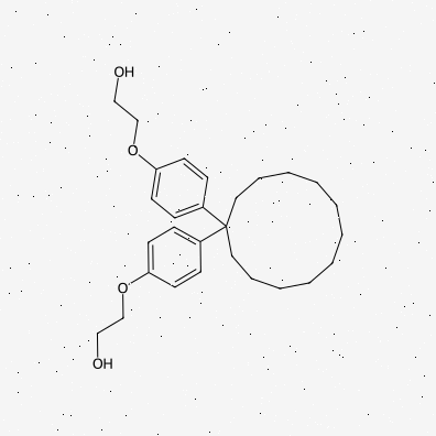 OCCOc1ccc(C2(c3ccc(OCCO)cc3)CCCCCCCCCCC2)cc1